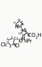 CC(C)N(OCc1ccc(Cl)cc1Cl)c1cc(-c2nccs2)sc1C(=O)O